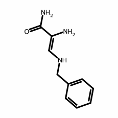 NC(=O)/C(N)=C/NCc1ccccc1